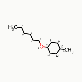 CCCCCCOC1CCC(C)CC1